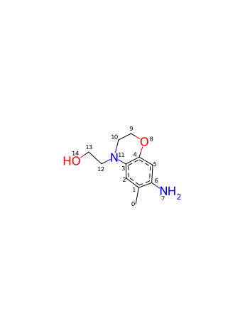 Cc1cc2c(cc1N)OCCN2CCO